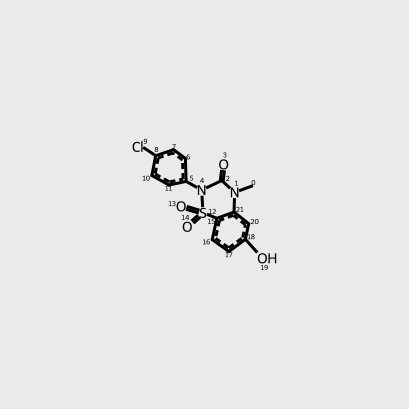 CN1C(=O)N(c2ccc(Cl)cc2)S(=O)(=O)c2ccc(O)cc21